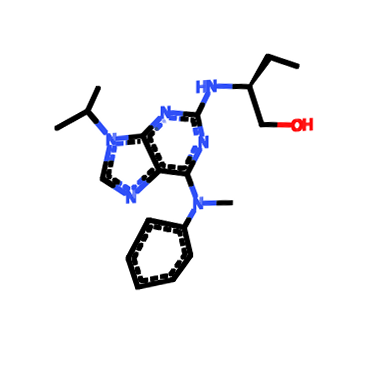 CC[C@@H](CO)Nc1nc(N(C)c2ccccc2)c2ncn(C(C)C)c2n1